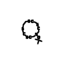 CC(C)(C)ON1CCSCCSCCSCCSCC1